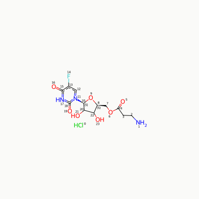 Cl.NCCC(=O)OC[C@@H]1O[C@H](n2cc(F)c(=O)[nH]c2=O)C(O)C1O